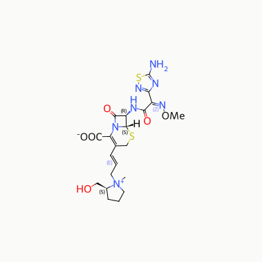 CO/N=C(\C(=O)N[C@@H]1C(=O)N2C(C(=O)[O-])=C(/C=C/C[N+]3(C)CCC[C@H]3CO)CS[C@@H]12)c1nsc(N)n1